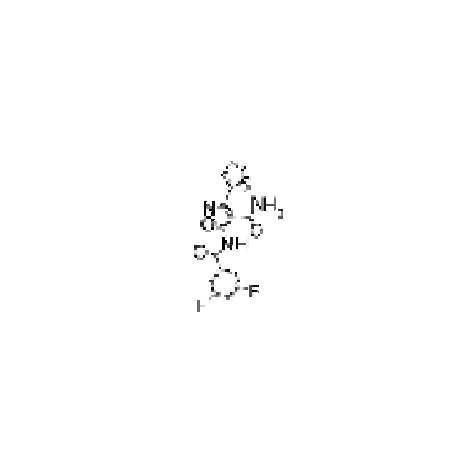 NC(=O)c1c(-c2cccs2)noc1NC(=O)c1cc(F)cc(F)c1